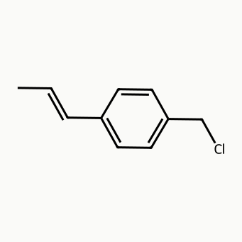 CC=Cc1ccc(CCl)cc1